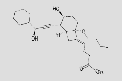 CCCCO[C@@]12CC[C@H](O)[C@@H](C#C[C@@H](O)C3CCCCC3)[C@@H]1CC2=CCCC(=O)O